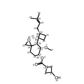 CO[C@@H]1[C@H](OC(=O)N2CC(O)C2)CCC2(CO2)[C@H]1[C@]1(C)CC[C@@H]1CC=C(C)C